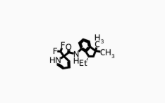 CC[C@H]1CC(C)(C)c2cccc(NC(=O)C3(C(F)F)C=CC=CN3)c21